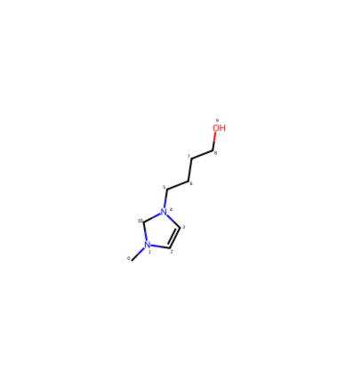 CN1C=CN(CCCCO)C1